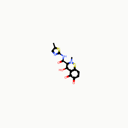 Cc1cnc(NC(=O)c2c(O)c3c(=O)c(=O)ccc=3sn2C)s1